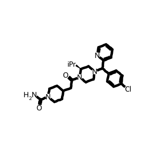 CC(C)[C@H]1CN(C(c2ccc(Cl)cc2)c2ccccn2)CCN1C(=O)CC1CCN(C(N)=O)CC1